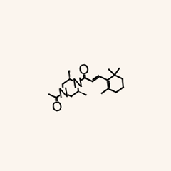 CC(=O)N1C[C@@H](C)N(C(=O)/C=C/C2=C(C)CCCC2(C)C)[C@@H](C)C1